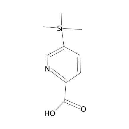 C[Si](C)(C)c1ccc(C(=O)O)nc1